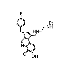 CCNCCNCc1cn(Cc2ccc(F)cc2)c2cnc3c(=O)n(O)ccc3c12